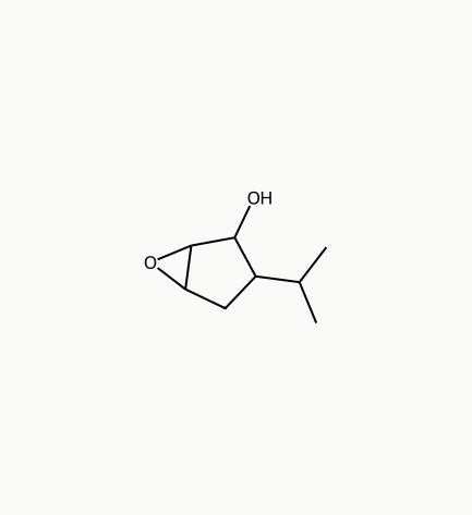 CC(C)C1CC2OC2C1O